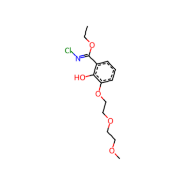 CCO/C(=N\Cl)c1cccc(OCCOCCOC)c1O